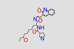 CCC(=O)CCCCCC(NC(=O)C1CCN(C)C1)c1ncc(-c2cc3ccccc3nc2OC)o1